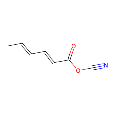 CC=CC=CC(=O)OC#N